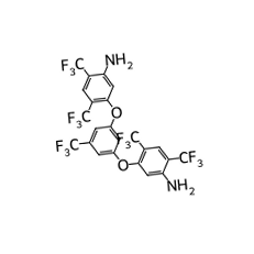 Nc1cc(Oc2cc(Oc3cc(N)c(C(F)(F)F)cc3C(F)(F)F)cc(C(F)(F)F)c2)c(C(F)(F)F)cc1C(F)(F)F